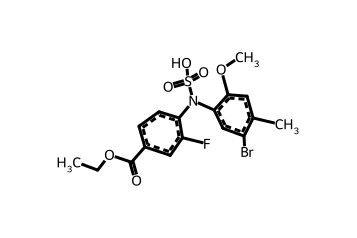 CCOC(=O)c1ccc(N(c2cc(Br)c(C)cc2OC)S(=O)(=O)O)c(F)c1